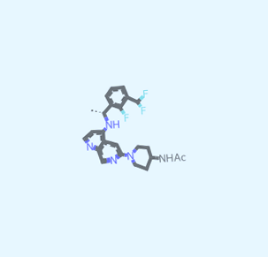 CC(=O)NC1CCN(c2cc3c(N[C@H](C)c4cccc(C(F)F)c4F)ccnc3cn2)CC1